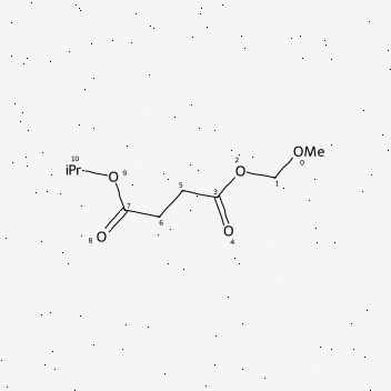 COCOC(=O)CCC(=O)OC(C)C